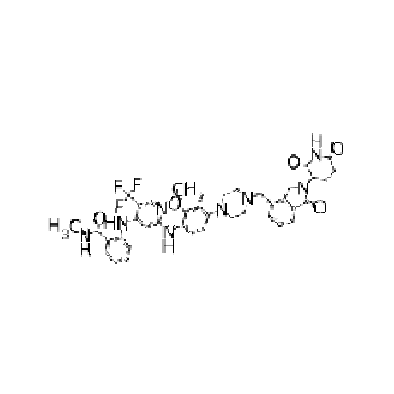 CNC(=O)c1ccccc1Nc1cc(Nc2ccc(N3CCN(Cc4cccc5c4CN(C4CCC(=O)NC4=O)C5=O)CC3)cc2OC)ncc1C(F)(F)F